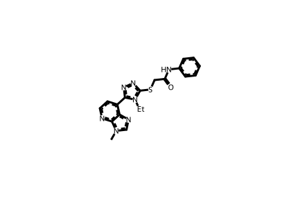 CCn1c(SCC(=O)Nc2ccccc2)nnc1-c1ccnc2c1ncn2C